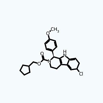 COc1ccc([C@H]2c3[nH]c4c(c3CCN2C(=O)OCC2CCCC2)=CC(Cl)CC=4)cc1